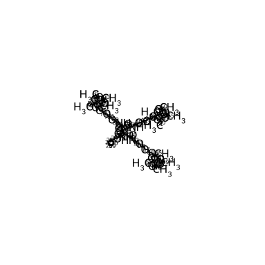 CCC1OC(OCCOCCOCCNC(=O)CCC(NC(=O)OCc2ccccc2)C(=O)N(CC(=O)NCCOCCOCCOC2OC(CC)C(OC(C)=O)C(OC(C)=O)C2C)CC(=O)NCCOCCOCCOC2OC(CC)C(OC(C)=O)C(OC(C)=O)C2C)C(C)C(OC(C)=O)C1OC(C)=O